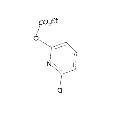 CCOC(=O)Oc1cccc(Cl)n1